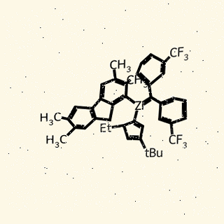 CCC1C=C(C(C)(C)C)C=[C]1[Zr](=[C](c1cccc(C(F)(F)F)c1)c1cccc(C(F)(F)F)c1)[c]1c(C)c(C)cc2c1Cc1cc(C)c(C)cc1-2